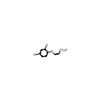 CCOC(=O)/C=C\Oc1ccc(Cl)cc1Cl